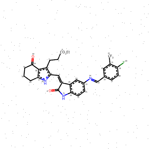 CCOC(=O)CCc1c(C=C2C(=O)Nc3ccc(N=Cc4ccc(F)c(C(F)(F)F)c4)cc32)[nH]c2c1C(=O)CCC2